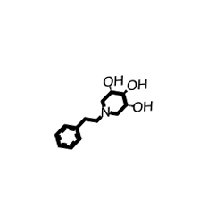 O[C@H]1[C@H](O)CN(CCc2ccccc2)C[C@@H]1O